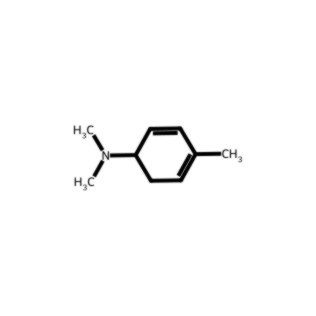 CC1=CCC(N(C)C)C=C1